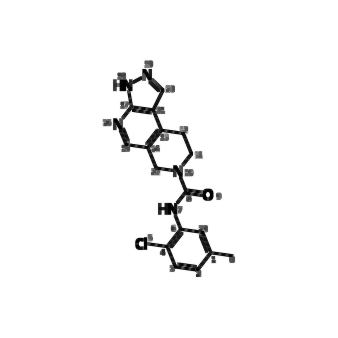 Cc1ccc(Cl)c(NC(=O)N2CCc3c(cnc4[nH]ncc34)C2)c1